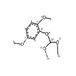 COc1ccc(OC)c(OC(OC)OC)c1